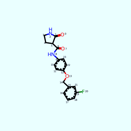 O=C1NCCC1C(=O)Nc1ccc(OCc2cccc(F)c2)cc1